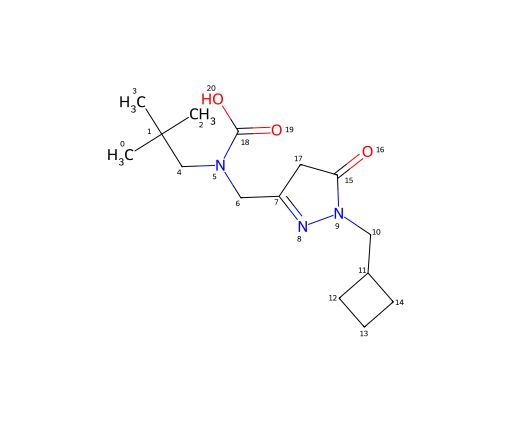 CC(C)(C)CN(CC1=NN(CC2CCC2)C(=O)C1)C(=O)O